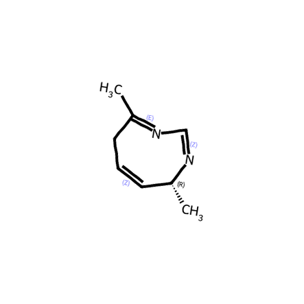 C/C1=N\C=N/[C@H](C)/C=C\C1